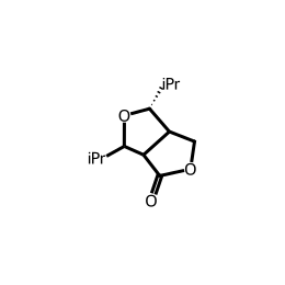 CC(C)C1O[C@H](C(C)C)C2COC(=O)C12